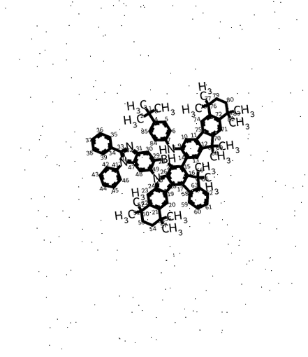 CC(C)(C)c1ccc(Nc2cc3c(cc2-c2c4c(c5c6cc7c(cc6n6c5c2Bc2cc5nc(-c8ccccc8)n(-c8ccccc8)c5cc2-6)C(C)(C)CCC7(C)C)-c2ccccc2C4(C)C)C(C)(C)c2cc4c(cc2-3)C(C)(C)CCC4(C)C)cc1